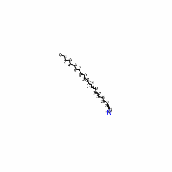 CCCCCCCCCCCCCCCCCCCCCCC#C[N]